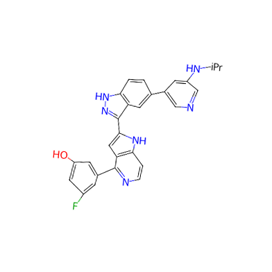 CC(C)Nc1cncc(-c2ccc3[nH]nc(-c4cc5c(-c6cc(O)cc(F)c6)nccc5[nH]4)c3c2)c1